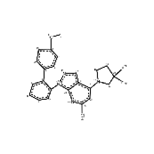 COc1ccc(-c2ccccc2-n2ncc3c(N4CCC(F)(F)C4)cc(Cl)nc32)cc1